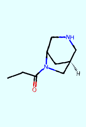 CCC(=O)N1C[C@@H]2CNCC1C2